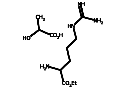 CC(O)C(=O)O.CCOC(=O)C(N)CCCNC(=N)N